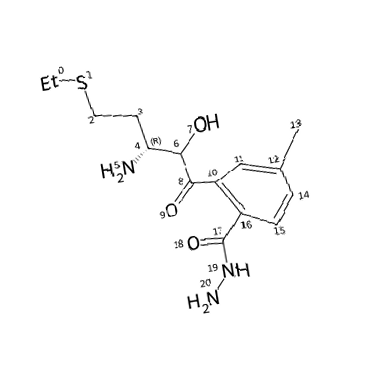 CCSCC[C@@H](N)C(O)C(=O)c1cc(C)ccc1C(=O)NN